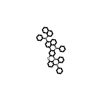 c1ccc(N2c3ccccc3B3c4cc5c(cc4Oc4cccc2c43)-c2ccc(N(c3ccccc3)c3cccc4ccccc34)c3cccc(c23)N5c2ccccc2)cc1